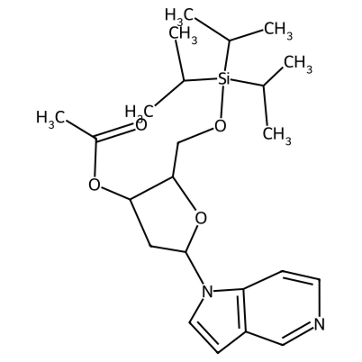 CC(=O)OC1CC(n2ccc3cnccc32)OC1CO[Si](C(C)C)(C(C)C)C(C)C